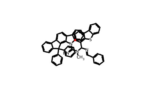 CN(C(=N)n1c2ccccc2c2ccc3c(c21)C(c1ccccc1)(c1ccccc1)c1ccccc1-3)C(/N=C/c1ccccc1)c1cccc2c1sc1ccccc12